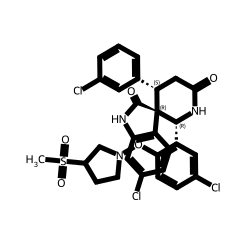 CS(=O)(=O)C1CCN(Oc2ccc(Cl)cc2[C@H]2NC(=O)C[C@@H](c3cccc(Cl)c3)[C@]23C(=O)Nc2cc(Cl)ccc23)C1